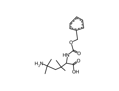 CC(C)(N)CC(C)(C)C(NC(=O)OCc1ccccc1)C(=O)O